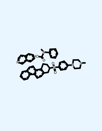 CN(C(=O)O)c1ccccc1.CN1CCN(c2ccc(S(=O)(=O)C3CCc4c(ccc5c4ccc4ccccc45)C3)cc2)CC1.c1ccc2cnccc2c1